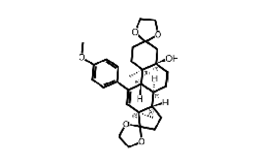 COc1ccc(C2=C[C@@]3(C)[C@@H](CCC34OCCO4)[C@@H]3CC[C@@]4(O)CC5(CC[C@]4(C)[C@@H]23)OCCO5)cc1